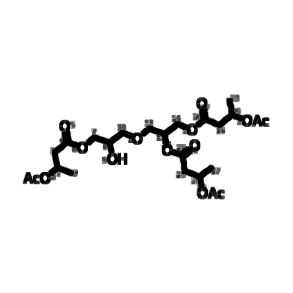 CC(=O)OC(C)CC(=O)OCC(O)COCC(COC(=O)CC(C)OC(C)=O)OC(=O)CC(C)OC(C)=O